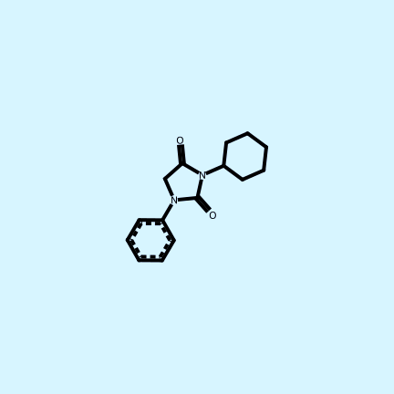 O=C1CN(c2ccccc2)C(=O)N1C1CCCCC1